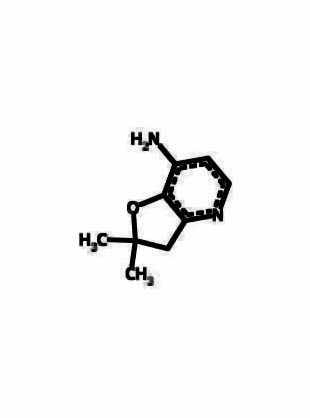 CC1(C)Cc2nccc(N)c2O1